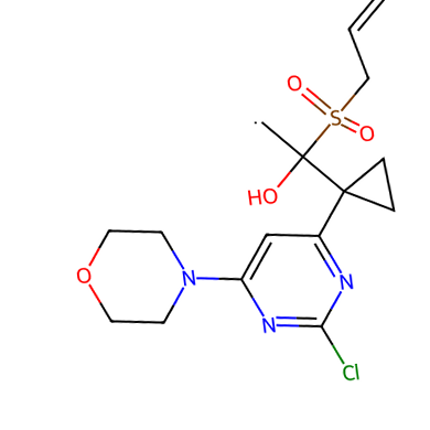 [CH2]C(O)(C1(c2cc(N3CCOCC3)nc(Cl)n2)CC1)S(=O)(=O)CC=C